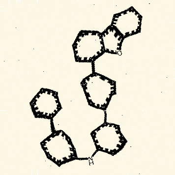 c1ccc(-c2cccc(Nc3cccc(-c4ccc(-c5cccc6c5oc5ccccc56)cc4)c3)c2)cc1